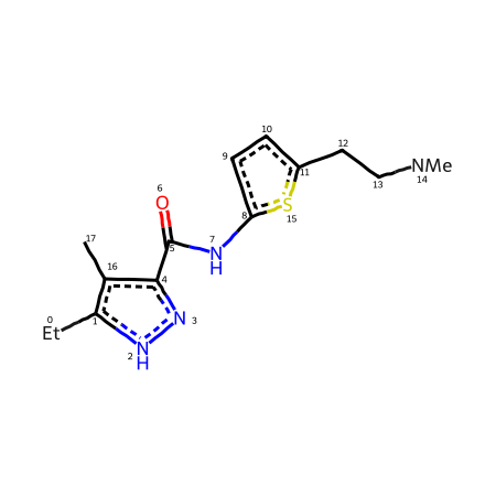 CCc1[nH]nc(C(=O)Nc2ccc(CCNC)s2)c1C